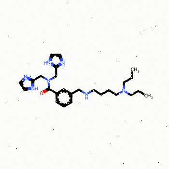 CCCN(CCC)CCCCNCc1cccc(C(=O)N(Cc2ncc[nH]2)Cc2ncc[nH]2)c1